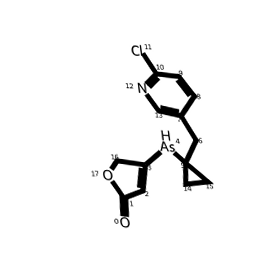 O=C1C=C([AsH]C2(Cc3ccc(Cl)nc3)CC2)CO1